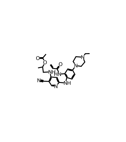 C=CC(=O)Nc1cc(N2CCN(CC)CC2)ccc1Nc1cc(NCC(C)OC(C)=O)c(C#N)cn1